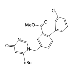 CCCCc1cc(=O)ncn1Cc1ccc(-c2cccc(Cl)c2)c(C(=O)OC)c1